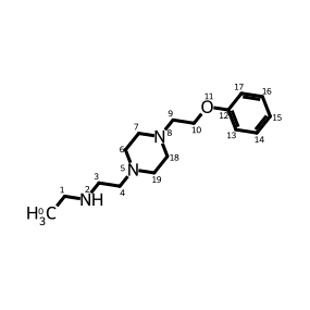 CCNCCN1CCN(CCOc2ccccc2)CC1